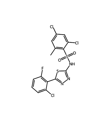 Cc1cc(Cl)cc(Cl)c1S(=O)(=O)Nc1nnc(-c2c(F)cccc2Cl)s1